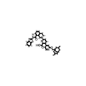 CC1CC2CC(C)CC(COc3cc(-c4ccc(N5CCc6cccc(C(=O)Nc7nc8ccccc8s7)c6C5)nc4C(=O)O)ccn3)(C1)C2